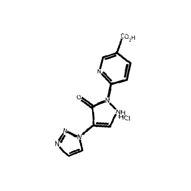 Cl.O=C(O)c1ccc(-n2[nH]cc(-n3ccnn3)c2=O)nc1